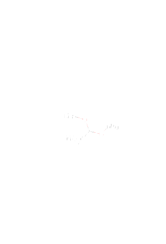 CCCCOC(OCCC)C(=O)O